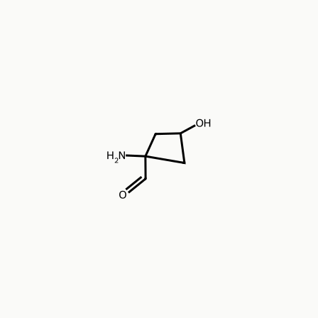 NC1(C=O)CC(O)C1